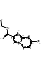 CCOC(=O)c1cn2ccc(Br)cc2n1